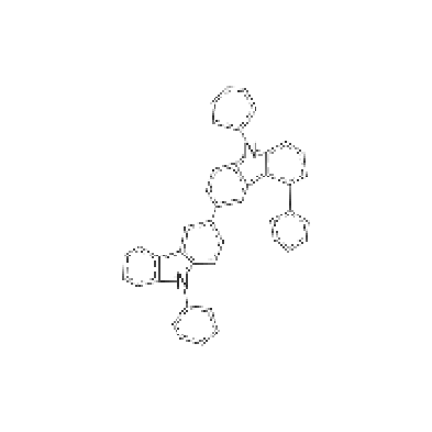 c1ccc(-c2cccc3c2c2cc(-c4ccc5c(c4)c4ccccc4n5-c4ccccc4)ccc2n3-c2ccccc2)cc1